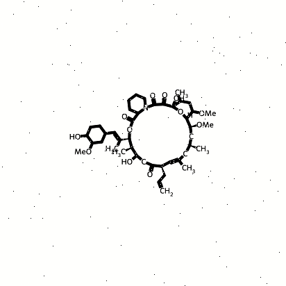 C=CC[C@@H]1/C=C(\C)C[C@H](C)C[C@H](OC)[C@H]2OC(O)(C(=O)C(=O)N3CCCCC3C(=O)O[C@H](/C(C)=C/C3CCC(O)C(OC)C3)[C@H](C)C(O)CC1=O)C(C)CC2OC